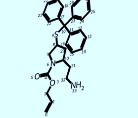 C=CCOC(=O)N1CC(SC(c2ccccc2)(c2ccccc2)c2ccccc2)CC1CCN